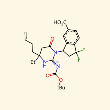 C=CCCC1(CC)CC(=O)N(C2CC(F)(F)c3ccc(C(=O)O)cc32)/C(=N/C(=O)OC(C)(C)C)N1